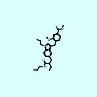 CCCNC(=O)C(CC)Cc1ccc2c(c1)c(Cc1ccc(C(=O)OC)cc1OC)cn2CCC